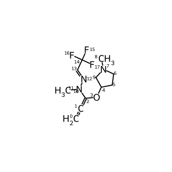 C=C=C(OC1CCN(C)C1)N(C)/N=C/C(F)(F)F